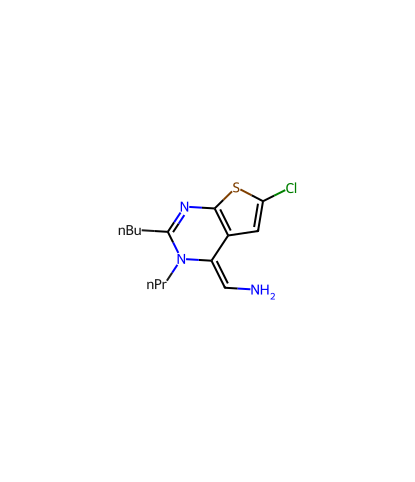 CCCCC1=Nc2sc(Cl)cc2/C(=C\N)N1CCC